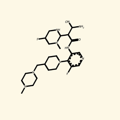 CN1CCN(CC2CCN(c3c(F)cncc3NC(=O)C(C(N)N=O)C3NCC(F)CN3C)CC2)CC1